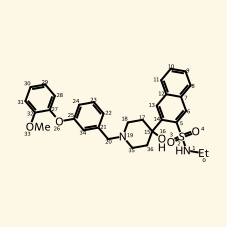 CCNS(=O)(=O)c1cc2ccccc2cc1C1(O)CCN(Cc2cccc(Oc3ccccc3OC)c2)CC1